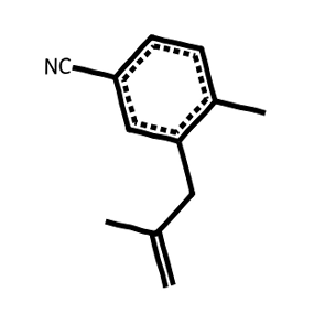 C=C(C)Cc1cc(C#N)ccc1C